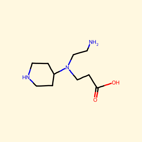 NCCN(CCC(=O)O)C1CCNCC1